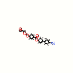 N#Cc1ccc(-c2ccc(OC(=O)c3ccc(OCOCC4CO4)cc3)cc2)cc1